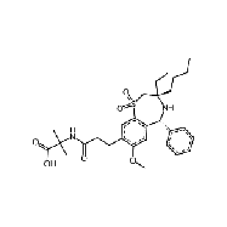 CCCC[C@]1(CC)CS(=O)(=O)c2cc(CCC(=O)NC(C)(C)C(=O)O)c(OC)cc2[C@@H](c2ccccc2)N1